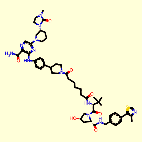 Cc1ncsc1-c1ccc(CNC(=O)[C@@H]2C[C@@H](O)CN2C(=O)[C@@H](NC(=O)CCCCCC(=O)N2CCC(c3ccc(Nc4nc(N5CCC[C@@H](N6CCN(C)C6=O)C5)cnc4C(N)=O)cc3)CC2)C(C)(C)C)cc1